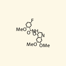 COc1cc2nccc(ONC(=O)c3cc(F)ccc3OC)c2cc1OC